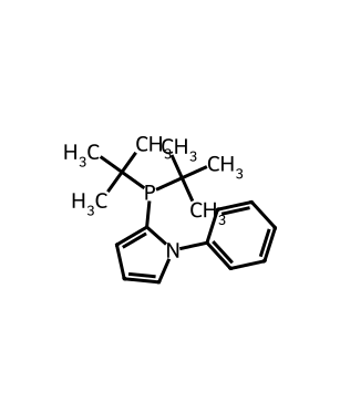 CC(C)(C)P(c1cccn1-c1ccccc1)C(C)(C)C